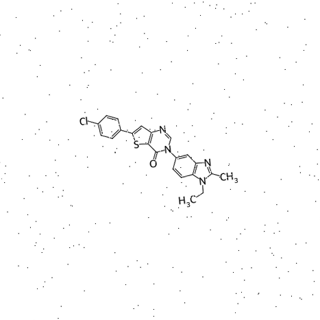 CCn1c(C)nc2cc(-n3cnc4cc(-c5ccc(Cl)cc5)sc4c3=O)ccc21